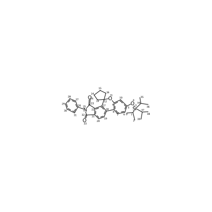 CC(C)[Si](Oc1ccc2c(c1)OC1(CCCC1)c1c-2ccc2c1C(=O)N(c1ccccc1)C2=O)(C(C)C)C(C)C